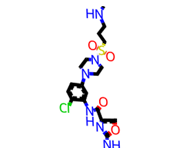 CNCCCS(=O)(=O)N1CCN(c2ccc(Cl)c(NC(=O)c3coc(N)n3)c2)CC1